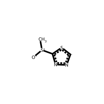 C[S+]([O-])c1nn[c]s1